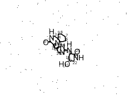 O=C1NCC2(CCCCC2)n2c1cc1cnc(NC3CC(O)CNC3=O)nc12